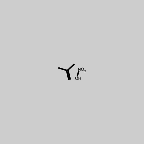 C=C(C)C.O=[N+]([O-])O